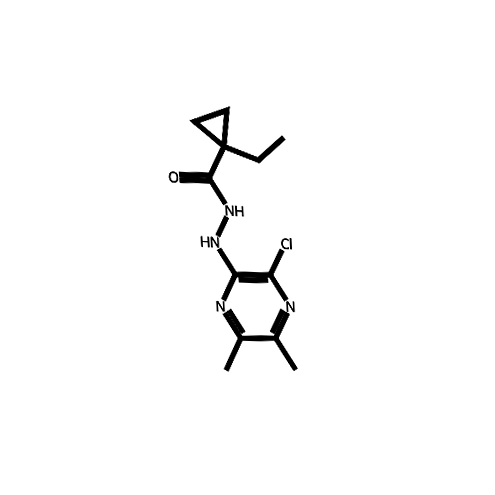 CCC1(C(=O)NNc2nc(C)c(C)nc2Cl)CC1